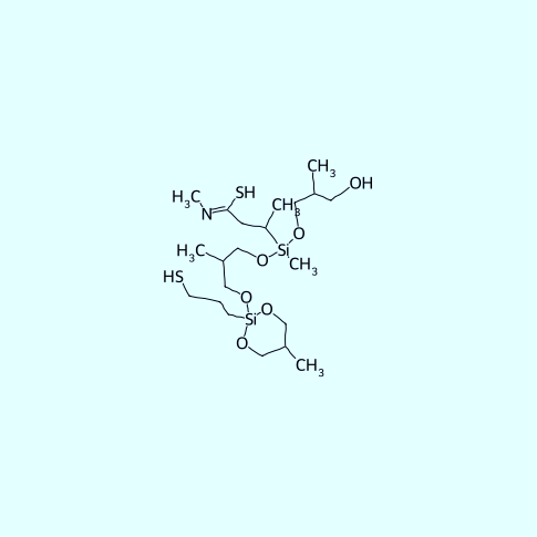 CN=C(S)CC(C)[Si](C)(OCC(C)CO)OCC(C)CO[Si]1(CCCS)OCC(C)CO1